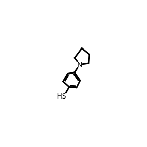 Sc1ccc(N2CCCC2)cc1